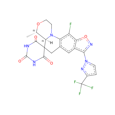 C[C@@H]1OCCN2c3c(cc4c(-n5ccc(C(F)(F)F)n5)noc4c3F)CC3(C(=O)NC(=O)NC3=O)[C@@H]12